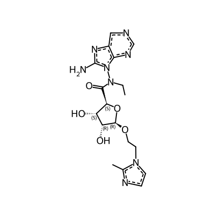 CCN(C(=O)[C@H]1O[C@@H](OCCn2ccnc2C)[C@H](O)[C@@H]1O)n1c(N)nc2cncnc21